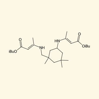 CC(=CC(=O)OCC(C)C)NCC1(C)CC(NC(C)=CC(=O)OCC(C)C)CC(C)(C)C1